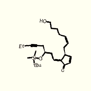 CCC#CC[C@@H](C/C=C1/C(=O)C=C[C@@H]1C/C=C\CCCCO)O[Si](C)(C)C(C)(C)C